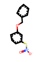 O=[N+]([O-])Sc1cccc(OCc2ccccc2)c1